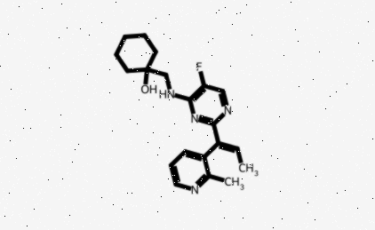 C/C=C(/c1ncc(F)c(NCC2(O)CCCCC2)n1)c1cccnc1C